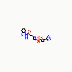 Cn1cc(-c2ccc(S(=O)(=O)n3ccc(C=CC(=O)Nc4ccccc4N)c3)s2)cn1